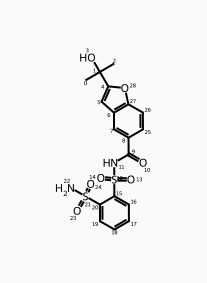 CC(C)(O)c1cc2cc(C(=O)NS(=O)(=O)c3ccccc3S(N)(=O)=O)ccc2o1